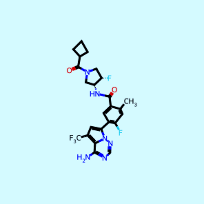 Cc1cc(F)c(-c2cc(C(F)(F)F)c3c(N)ncnn23)cc1C(=O)N[C@@H]1CN(C(=O)C2CCC2)C[C@@H]1F